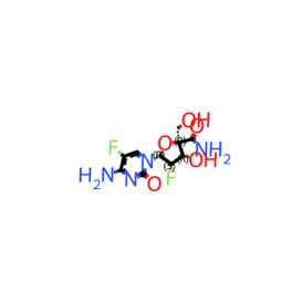 NC(=O)[C@]1(CO)O[C@@H](n2cc(F)c(N)nc2=O)[C@@H](F)[C@@H]1O